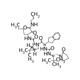 C=CCNC(=O)C(=O)C(CCCC)NC(=O)[C@@H]1[C@@H]2[C@H](CN1C(=O)[C@@H](NC(=O)N[C@H](CN1CCCCC1=O)C(C)(C)C)C1Cc3ccccc3C1)C2(C)C